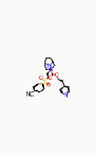 N#Cc1ccc(S(=O)(=O)CCCN2C3CCC2CN(C(=O)OCCc2ccncc2)C3)cc1